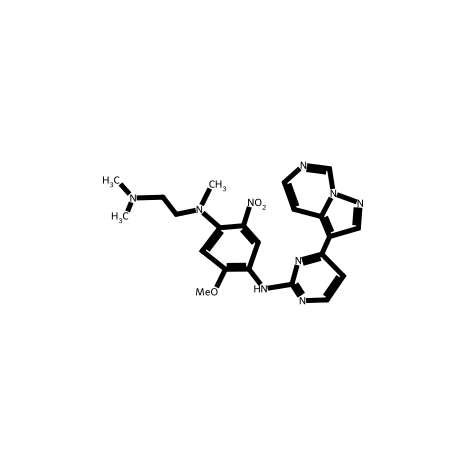 COc1cc(N(C)CCN(C)C)c([N+](=O)[O-])cc1Nc1nccc(-c2cnn3cnccc23)n1